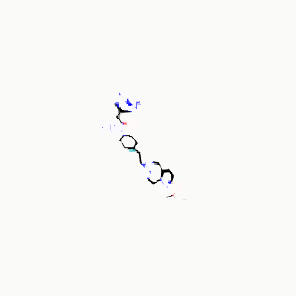 CC(Oc1ccc2c(n1)CCN(CCC1(F)CCC(NC(=O)Cc3cnn(C)c3)CC1)CC2)C(F)(F)F